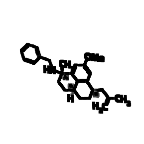 C=C(C)C[C@H]1CC[C@H]2CC[C@](C)(NCc3ccccc3)c3cc(OC)cc1c32